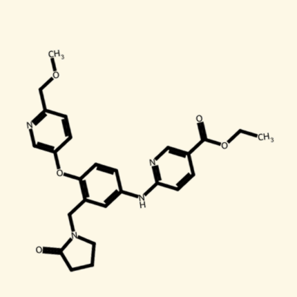 CCOC(=O)c1ccc(Nc2ccc(Oc3ccc(COC)nc3)c(CN3CCCC3=O)c2)nc1